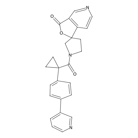 O=C1OC2(CCN(C(=O)C3(c4ccc(-c5cccnc5)cc4)CC3)C2)c2ccncc21